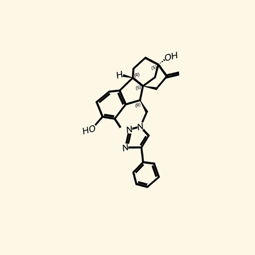 C=C1C[C@]23C[C@@]1(O)CC[C@H]2c1ccc(O)c(C)c1[C@@H]3Cn1cc(-c2ccccc2)nn1